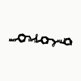 COc1ccc(CNC(=O)Nc2ccc(CC(=O)NCc3cnccn3)cc2)cc1